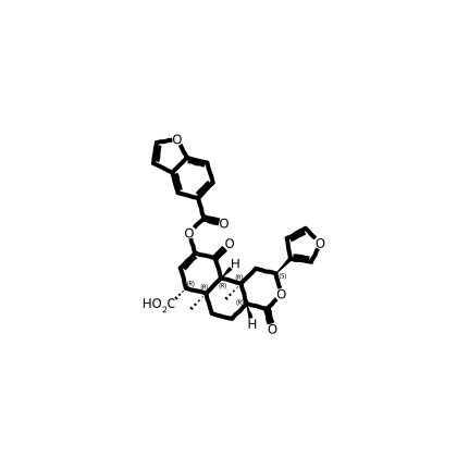 C[C@@]12CC[C@H]3C(=O)O[C@H](c4ccoc4)C[C@]3(C)[C@H]1C(=O)C(OC(=O)c1ccc3occc3c1)=C[C@H]2C(=O)O